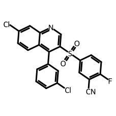 N#Cc1cc(S(=O)(=O)c2cnc3cc(Cl)ccc3c2-c2cccc(Cl)c2)ccc1F